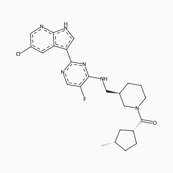 C[C@H]1CC[C@@H](C(=O)N2CCC[C@H](CNc3nc(-c4c[nH]c5ncc(Cl)cc45)ncc3F)C2)C1